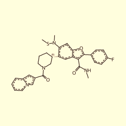 CNC(=O)c1c(-c2ccc(F)cc2)oc2cc(N(C)SC)c([C@H]3CCCN(C(=O)c4cc5ccccn5c4)C3)cc12